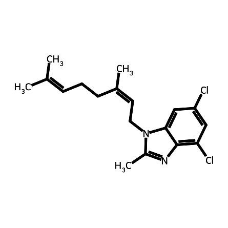 CC(C)=CCCC(C)=CCn1c(C)nc2c(Cl)cc(Cl)cc21